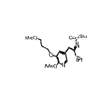 COCCCOc1cc(C/C(=N\[S+]([O-])C(C)(C)C)C(C)C)cnc1OC